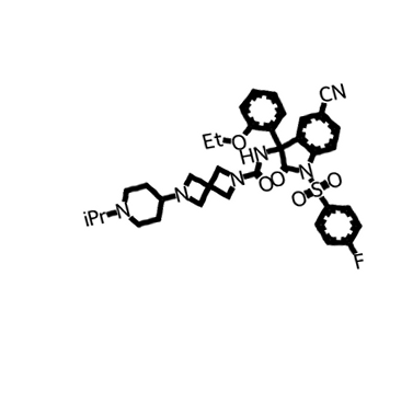 CCOc1ccccc1C1(NC(=O)N2CC3(C2)CN(C2CCN(C(C)C)CC2)C3)C(=O)N(S(=O)(=O)c2ccc(F)cc2)c2ccc(C#N)cc21